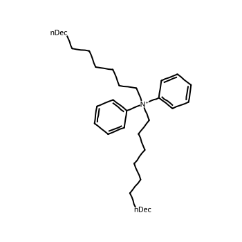 CCCCCCCCCCCCCCCC[N+](CCCCCCCCCCCCCCCC)(c1ccccc1)c1ccccc1